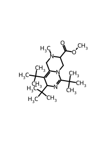 COC(=O)C1CN2C(C(C)(C)C)=NC(C(C)(C)C)C(C(C)(C)C)=C2CN1C